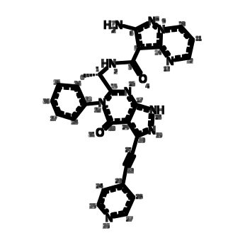 C[C@H](NC(=O)c1c(N)nn2cccnc12)c1nc2[nH]nc(C#Cc3ccncc3)c2c(=O)n1-c1ccccc1